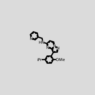 COc1ccc(C(C)C)cc1-c1cnn2ccc(NCc3cccnc3)nc12